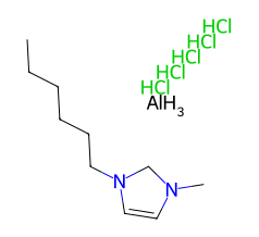 CCCCCCN1C=CN(C)C1.Cl.Cl.Cl.Cl.Cl.[AlH3]